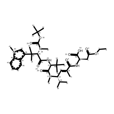 CCOC(=O)C[C@@H](NC(=O)/C(C)=C/[C@H](C(C)C)N(C)C(=O)[C@@H](NC(=O)[C@@H](N(C)C(=O)OC(C)(C)C)C(C)(C)c1cn(C)c2ccccc12)C(C)(C)C)C(=O)O